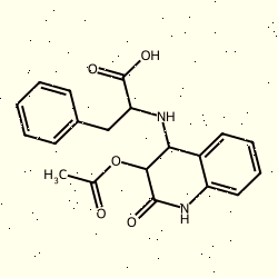 CC(=O)OC1C(=O)Nc2ccccc2C1NC(Cc1ccccc1)C(=O)O